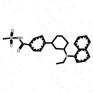 CCN(c1cccc2ccccc12)C1CCCC(c2ccc(C(=O)NS(C)(=O)=O)cc2)C1